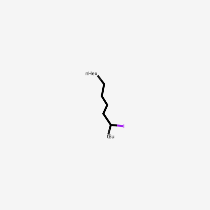 CCCCCCCCCCC(I)C(C)(C)C